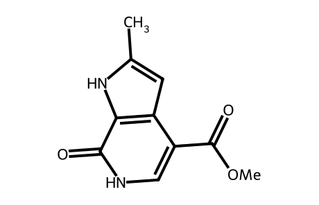 COC(=O)c1c[nH]c(=O)c2[nH]c(C)cc12